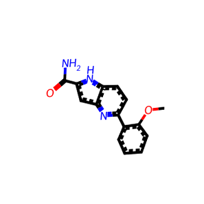 COc1ccccc1-c1ccc2[nH]c(C(N)=O)cc2n1